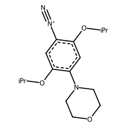 CC(C)Oc1cc(N2CCOCC2)c(OC(C)C)cc1[N+]#N